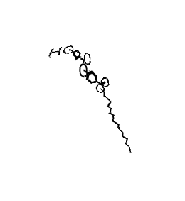 CCCCCCCCCCCCCCCCOC(=O)c1ccc(OC(=O)c2ccc(O)cc2)cc1